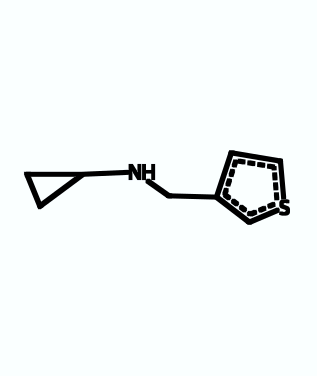 c1cc(CNC2CC2)cs1